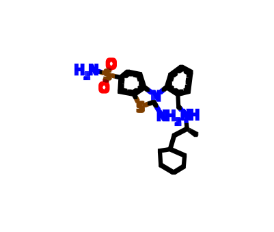 C[C@@H](CC1CCCCC1)NCc1ccccc1N1c2ccc(S(N)(=O)=O)cc2SC1N